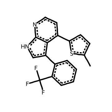 Cc1ccc(-c2ccnc3[nH]cc(-c4ccccc4C(F)(F)F)c23)s1